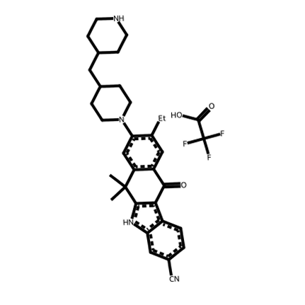 CCc1cc2c(cc1N1CCC(CC3CCNCC3)CC1)C(C)(C)c1[nH]c3cc(C#N)ccc3c1C2=O.O=C(O)C(F)(F)F